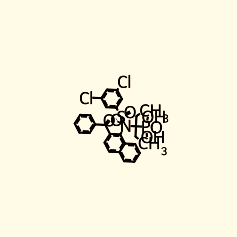 CCC(CC)(N(c1c(C(=O)c2ccccc2)ccc2ccccc12)S(=O)(=O)c1cc(Cl)cc(Cl)c1)P(=O)(O)O